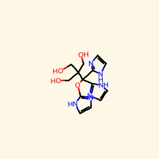 OCC(CO)(CO)C(Oc1ncc[nH]1)(c1ncc[nH]1)c1ncc[nH]1